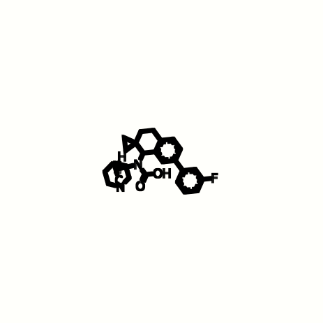 O=C(O)N(C1c2cc(-c3cccc(F)c3)ccc2CCC12CC2)[C@@H]1CN2CCC1CC2